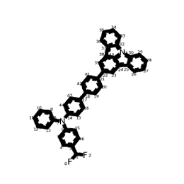 FC(F)c1ccc(N(c2ccccc2)c2ccc(-c3ccc(-c4cc5c6ccccc6n6c7ccccc7c(c4)c56)cc3)cc2)cc1